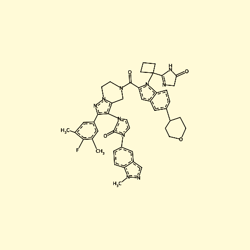 Cc1cc(-c2nn3c(c2-n2ccn(-c4ccc5c(cnn5C)c4)c2=O)CN(C(=O)c2cc4cc(C5CCOCC5)ccc4n2C2(C4=NCC(=O)N4)CCC2)CC3)cc(C)c1F